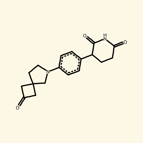 O=C1CC2(CCN(c3ccc(C4CCC(=O)NC4=O)cc3)C2)C1